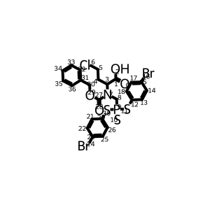 O=C(O)C(CCCl)N(CP(=S)(Sc1ccc(Br)cc1)Sc1ccc(Br)cc1)C(=O)OCc1ccccc1